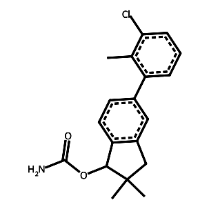 Cc1c(Cl)cccc1-c1ccc2c(c1)CC(C)(C)C2OC(N)=O